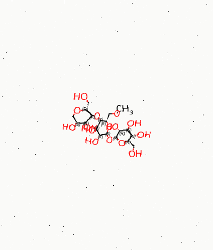 COC[C@H]1O[C@@H](O[C@H]2O[C@H](CO)[C@@H](O)[C@H](O)[C@H]2O)[C@H](O)[C@@H](O)[C@H]1O[C@@H]1[C@H](O)[C@@H](O)CO[C@@H]1CO